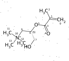 C=C(C)C(=O)O[C@H](CO)C[N+](C)(C)C